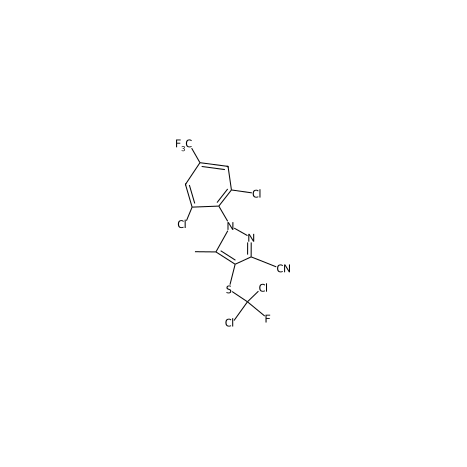 Cc1c(SC(F)(Cl)Cl)c(C#N)nn1-c1c(Cl)cc(C(F)(F)F)cc1Cl